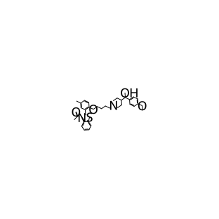 COc1ccc(C(O)C2CCN(CCCCOc3ccc(C)cc3C3Sc4ccccc4N3C(C)=O)CC2)cc1